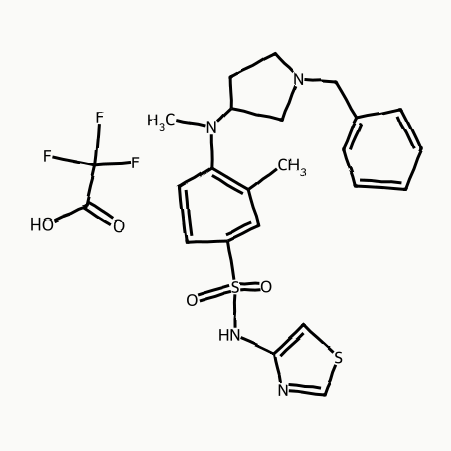 Cc1cc(S(=O)(=O)Nc2cscn2)ccc1N(C)C1CCN(Cc2ccccc2)C1.O=C(O)C(F)(F)F